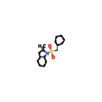 Cc1cc2ccccc2n1S(=O)(=O)Cc1ccccc1